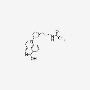 CC(=O)NCCCN1CCC(N2CCc3cnc(O)c4cccc2c34)C1